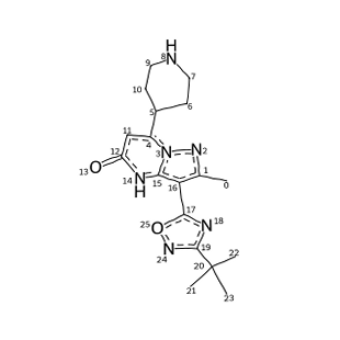 Cc1nn2c(C3CCNCC3)cc(=O)[nH]c2c1-c1nc(C(C)(C)C)no1